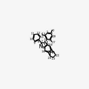 Cc1cc(C)c(-n2c(-c3ccccc3)nc3cc4c(cc32)C2CCC4C2)c(C)c1